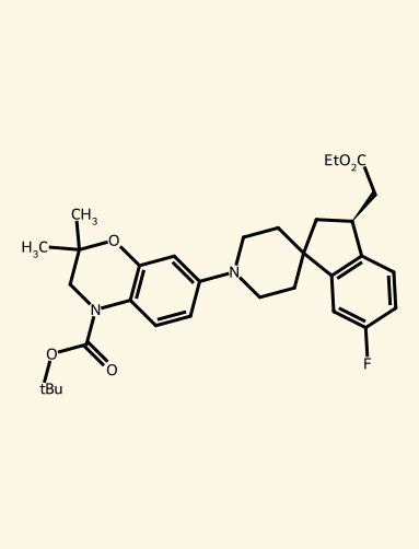 CCOC(=O)C[C@@H]1CC2(CCN(c3ccc4c(c3)OC(C)(C)CN4C(=O)OC(C)(C)C)CC2)c2cc(F)ccc21